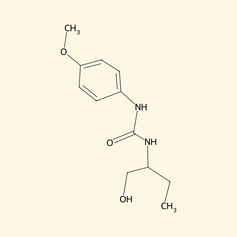 CCC(CO)NC(=O)Nc1ccc(OC)cc1